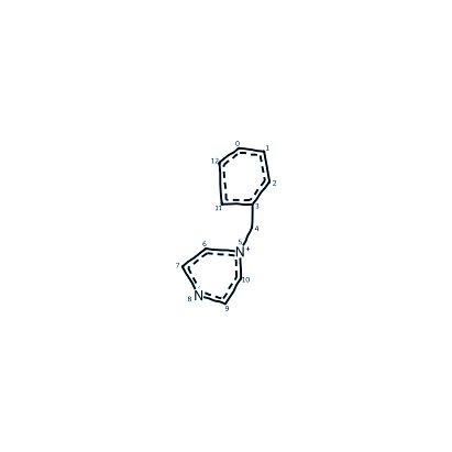 c1ccc(C[n+]2ccncc2)cc1